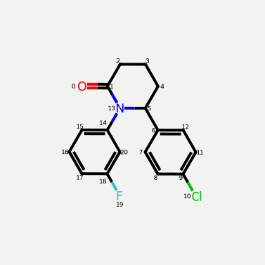 O=C1CCCC(c2ccc(Cl)cc2)N1c1cccc(F)c1